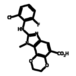 Cn1c(Nc2c(F)cccc2Cl)nc2cc(C(=O)O)c3c(c21)OCCO3